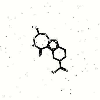 CC1Cn2nc3c(c2C(=O)NO1)CC(C(N)=O)CC3